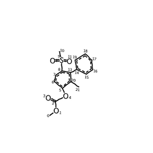 COC(=O)Oc1ccc(S(C)(=O)=O)c(-c2ccccc2)c1C